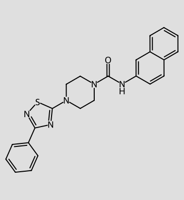 O=C(Nc1ccc2ccccc2c1)N1CCN(c2nc(-c3ccccc3)ns2)CC1